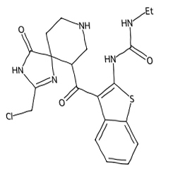 CCNC(=O)Nc1sc2ccccc2c1C(=O)C1CNCCC12N=C(CCl)NC2=O